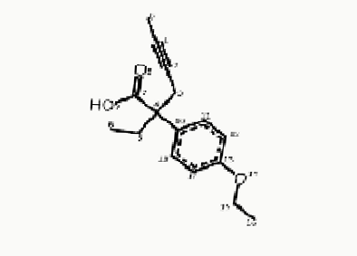 CC#CCC(CC)(C(=O)O)c1ccc(OCC)cc1